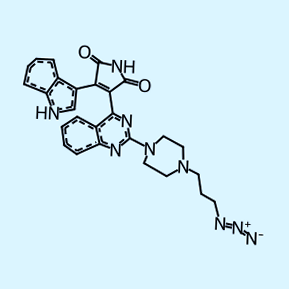 [N-]=[N+]=NCCCN1CCN(c2nc(C3=C(c4c[nH]c5ccccc45)C(=O)NC3=O)c3ccccc3n2)CC1